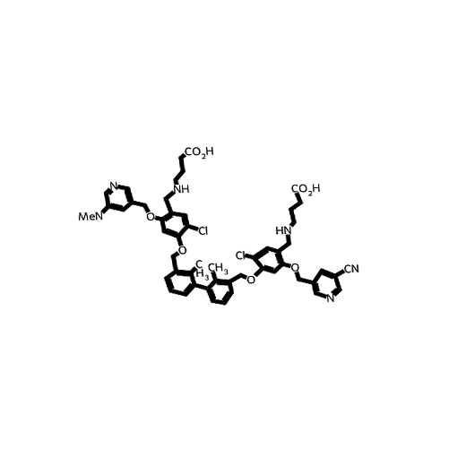 CNc1cncc(COc2cc(OCc3cccc(-c4cccc(COc5cc(OCc6cncc(C#N)c6)c(CNCCCC(=O)O)cc5Cl)c4C)c3C)c(Cl)cc2CNCCCC(=O)O)c1